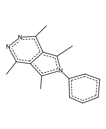 Cc1nnc(C)c2c(C)n(-c3ccccc3)c(C)c12